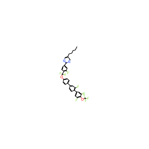 CCCCCc1cnc(-c2ccc(C(F)(F)Oc3ccc(-c4ccc(-c5cc(F)c(OC(F)(F)F)c(F)c5)c(F)c4)cc3)c(F)c2)nc1